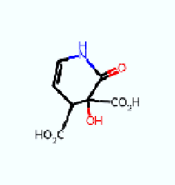 O=C(O)C1C=CNC(=O)C1(O)C(=O)O